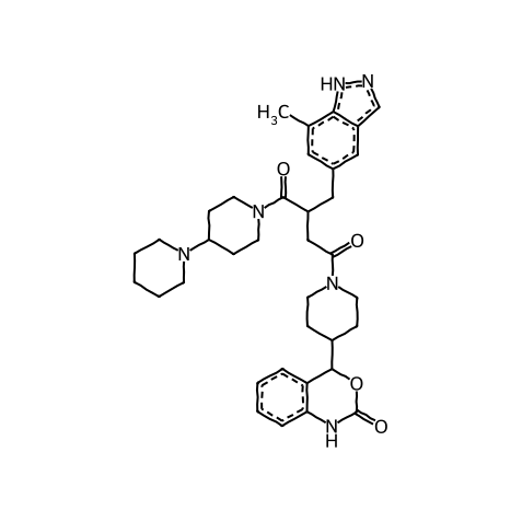 Cc1cc(CC(CC(=O)N2CCC(C3OC(=O)Nc4ccccc43)CC2)C(=O)N2CCC(N3CCCCC3)CC2)cc2cn[nH]c12